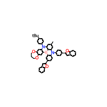 Cc1cc2c3c(c1)N(c1ccc(C(C)(C)C)cc1)c1cc4c(cc1B3c1cc(-c3cc5ccccc5o3)ccc1N2c1ccc(-c2cc3ccccc3o2)cc1)OCCCO4